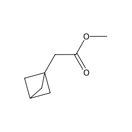 COC(=O)CC12CC(C1)C2